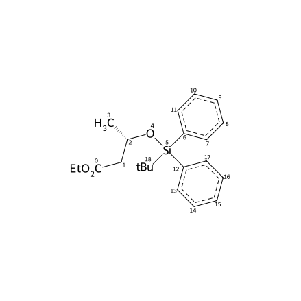 CCOC(=O)C[C@H](C)O[Si](c1ccccc1)(c1ccccc1)C(C)(C)C